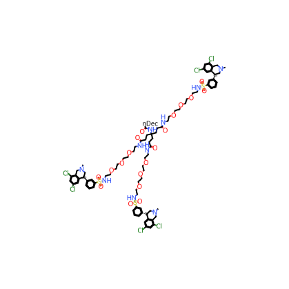 CCCCCCCCCCC(=O)NC(CCC(=O)NCCOCCOCCOCCNS(=O)(=O)c1cccc([C@@H]2CN(C)Cc3c(Cl)cc(Cl)cc32)c1)(CCC(=O)NCCOCCOCCOCCNS(=O)(=O)c1cccc([C@@H]2CN(C)Cc3c(Cl)cc(Cl)cc32)c1)CCC(=O)NCCOCCOCCOCCNS(=O)(=O)c1cccc([C@@H]2CN(C)Cc3c(Cl)cc(Cl)cc32)c1